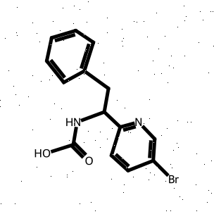 O=C(O)NC(Cc1ccccc1)c1ccc(Br)cn1